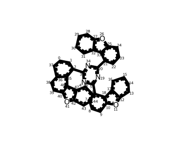 c1cc(-c2nc(-c3cccc4oc5ccccc5c34)nc(-c3cccc4oc5ccccc5c34)n2)c2c(c1)ccc1oc3ccccc3c12